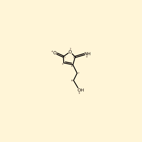 N=C1OC(=O)C=C1CCO